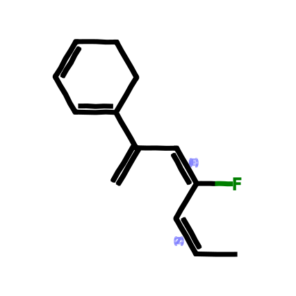 C=C(/C=C(F)\C=C/C)C1=CC=CCC1